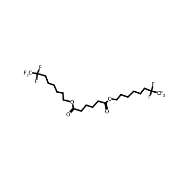 O=C(CCCCC(=O)OCCCCCCC(F)(F)C(F)(F)F)OCCCCCCC(F)(F)C(F)(F)F